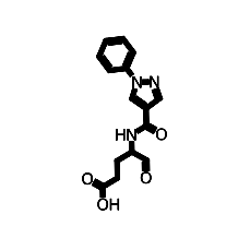 O=CC(CCC(=O)O)NC(=O)c1cnn(-c2ccccc2)c1